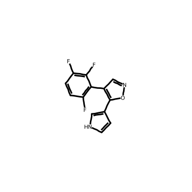 Fc1ccc(F)c(-c2cnoc2-c2cc[nH]c2)c1F